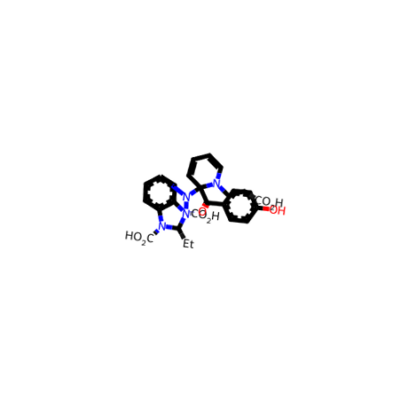 CCC1N(C(=O)O)c2ccc3cc2[N+]1(C(=O)O)N3C1(C(=O)c2ccc(O)cc2)C=CC=CN1CCC(=O)O